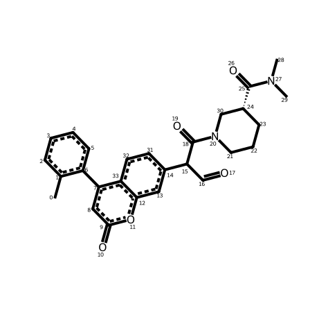 Cc1ccccc1-c1cc(=O)oc2cc(C(C=O)C(=O)N3CCC[C@@H](C(=O)N(C)C)C3)ccc12